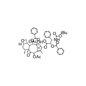 CC(=O)O[C@H]1C(=O)[C@@]2(C)C([C@H](OC(=O)c3ccccc3)[C@]3(O)C[C@H](OC(=O)[C@H](OC(=O)c4ccccc4)[C@@H](NC(=O)OC(C)(C)C)c4ccccc4)C(C)=C1C3(C)C)[C@]1(OC(C)=O)CO[C@@H]1C[C@@H]2C